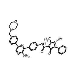 Cc1c(C(=O)Nc2ccc(-c3nc(-c4ccc(CN5CCOCC5)cc4)cnc3N)cc2)c(=O)n(-c2ccccc2)n1C(C)C